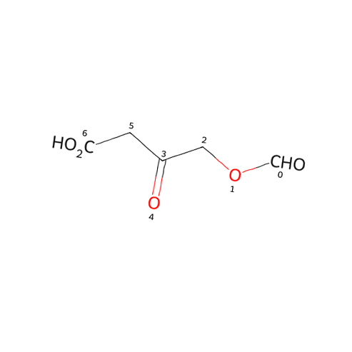 O=COCC(=O)CC(=O)O